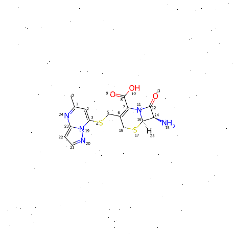 Cc1cc(SCC2=C(C(=O)O)N3C(=O)[C@@H](N)[C@H]3SC2)n2nccc2n1